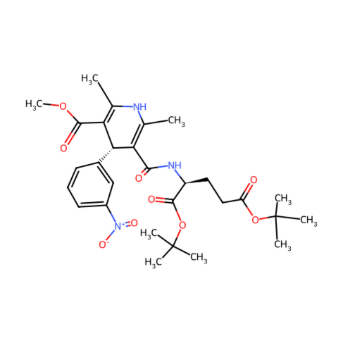 COC(=O)C1=C(C)NC(C)=C(C(=O)N[C@@H](CCC(=O)OC(C)(C)C)C(=O)OC(C)(C)C)[C@@H]1c1cccc([N+](=O)[O-])c1